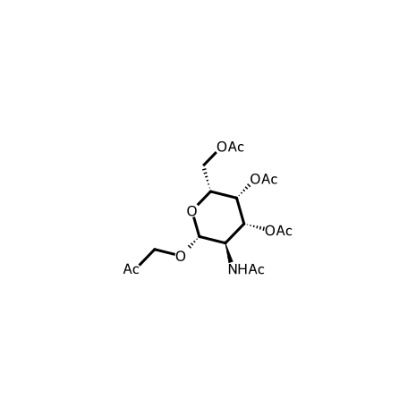 CC(=O)CO[C@@H]1O[C@H](COC(C)=O)[C@H](OC(C)=O)[C@H](OC(C)=O)[C@H]1NC(C)=O